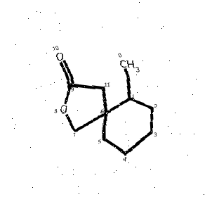 CC1CCCCC12COC(=O)C2